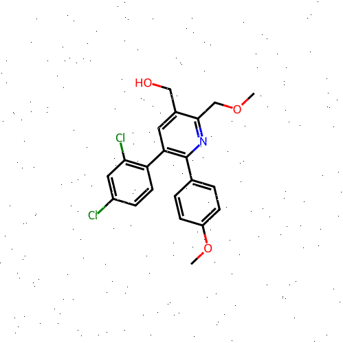 COCc1nc(-c2ccc(OC)cc2)c(-c2ccc(Cl)cc2Cl)cc1CO